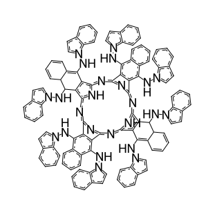 C1=CC2=C(Nn3ccc4ccccc43)c3c(c4nc5nc(nc6[nH]c(nc7nc(nc3[nH]4)-c3c-7c(Nn4ccc7ccccc74)c4ccccc4c3Nn3ccc4ccccc43)c3c6C(Nn4ccc6ccccc64)=C4C=CC=CC4C3Nn3ccc4ccccc43)-c3c-5c(Nn4ccc5ccccc54)c4ccccc4c3Nn3ccc4ccccc43)C(Nn3ccc4ccccc43)C2C=C1